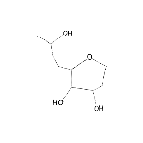 CC(O)CC1OCCC(O)C1O